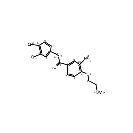 COCCOc1ccc(C(=O)Nc2ccc(Cl)c(Cl)c2)cc1N